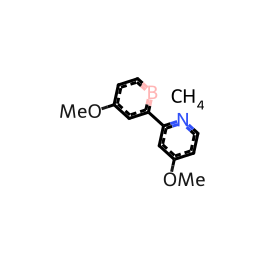 C.COc1ccbc(-c2cc(OC)ccn2)c1